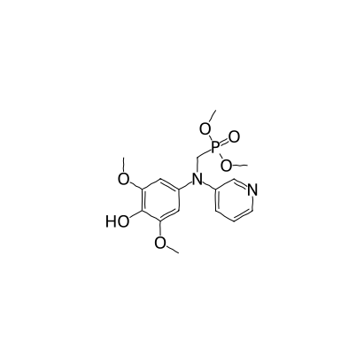 COc1cc(N(CP(=O)(OC)OC)c2cccnc2)cc(OC)c1O